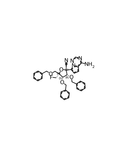 N#C[C@]1(c2ccc3c(N)ncnn23)O[C@](CF)(COCc2ccccc2)[C@@H](OCc2ccccc2)[C@H]1OCc1ccccc1